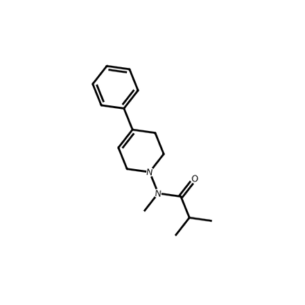 CC(C)C(=O)N(C)N1CC=C(c2ccccc2)CC1